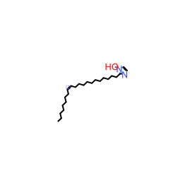 CCCCCCCC/C=C\CCCCCCCCCCCc1nccn1O